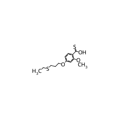 CCSCCCOc1ccc(C(O)=S)c(OC)c1